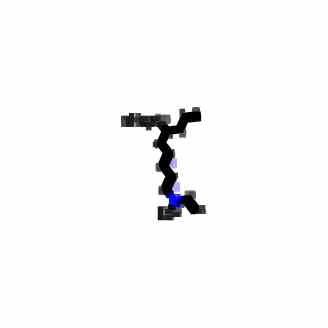 C=CCC(C/C=C/C=C/N(C=C)CC)CCCCCCC